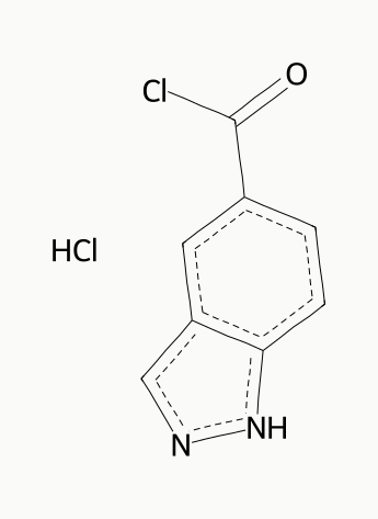 Cl.O=C(Cl)c1ccc2[nH]ncc2c1